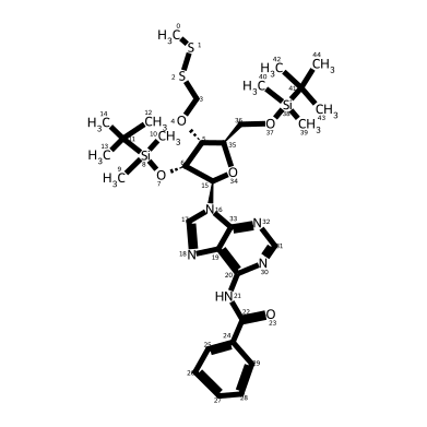 CSSCO[C@H]1[C@@H](O[Si](C)(C)C(C)(C)C)[C@H](n2cnc3c(NC(=O)c4ccccc4)ncnc32)O[C@@H]1CO[Si](C)(C)C(C)(C)C